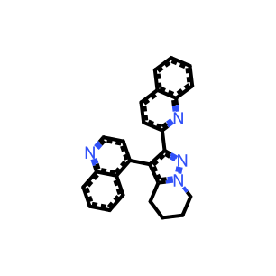 c1ccc2nc(-c3nn4c(c3-c3ccnc5ccccc35)CCCC4)ccc2c1